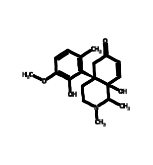 COc1ccc(C)c([C@]23CCN(C)C(C)C2(O)C=CC(=O)C3)c1O